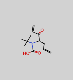 C=CC[C@H](C(=O)C=C)N(C(=O)O)C(C)(C)C